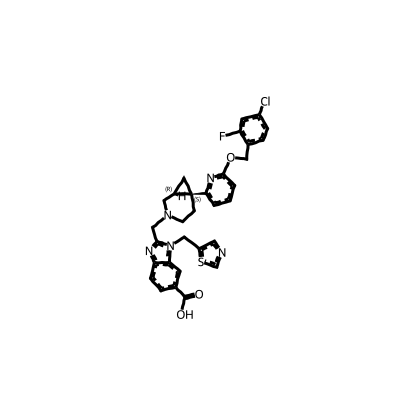 O=C(O)c1ccc2nc(CN3CC[C@@]4(c5cccc(OCc6ccc(Cl)cc6F)n5)C[C@H]4C3)n(Cc3cncs3)c2c1